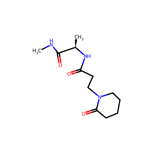 CNC(=O)[C@@H](C)NC(=O)CCN1CCCCC1=O